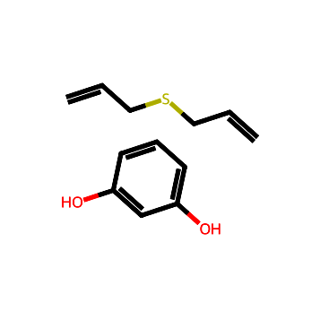 C=CCSCC=C.Oc1cccc(O)c1